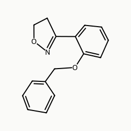 c1ccc(COc2ccccc2C2=NOCC2)cc1